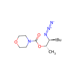 C[C@H](OC(=O)N1CCOCC1)[C@@H](N=[N+]=[N-])C(C)(C)C